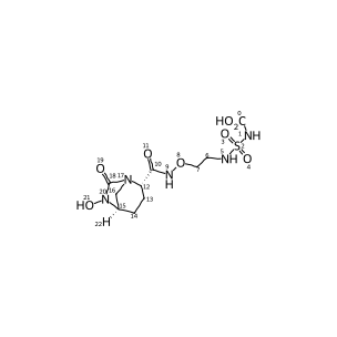 O=C(O)NS(=O)(=O)NCCONC(=O)[C@@H]1CC[C@@H]2CN1C(=O)N2O